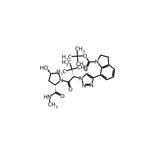 CNC(=O)[C@@H]1C[C@@H](O)CN1C(=O)[C@@H](n1cc(-c2cccc3c2N(C(=O)OC(C)(C)C)CC3)nn1)C(C)(C)C